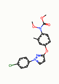 COC(=O)N(OC)c1ccc(Oc2ccn(-c3ccc(Cl)cc3)n2)cc1C